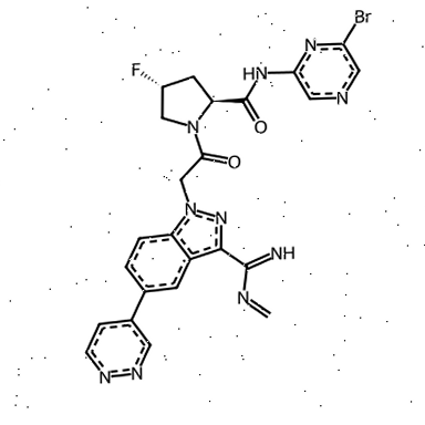 C=NC(=N)c1nn(CC(=O)N2C[C@H](F)C[C@H]2C(=O)Nc2cncc(Br)n2)c2ccc(-c3ccnnc3)cc12